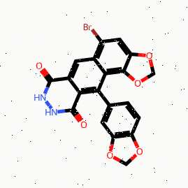 O=c1[nH][nH]c(=O)c2c(-c3ccc4c(c3)OCO4)c3c4c(cc(Br)c3cc12)OCO4